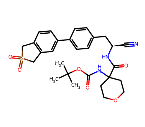 CC(C)(C)OC(=O)NC1(C(=O)N[C@H](C#N)Cc2ccc(-c3ccc4c(c3)CS(=O)(=O)C4)cc2)CCOCC1